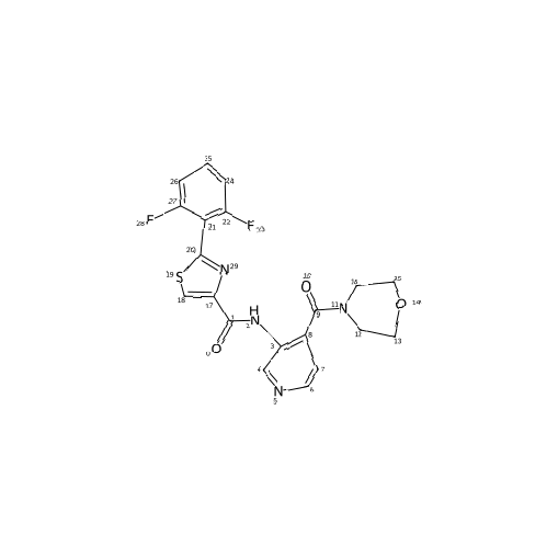 O=C(Nc1cnccc1C(=O)N1CCOCC1)c1csc(-c2c(F)cccc2F)n1